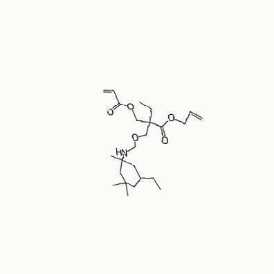 C=CCOC(=O)C(CC)(COCNC1(C)CC(CC)CC(C)(C)C1)COC(=O)C=C